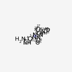 N=C(N)c1ccc(/N=N/c2c(N3CCOCC3)nc(N3CCOCC3)c3ccccc23)cc1